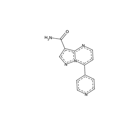 NC(=O)c1cnn2c(-c3ccncc3)ccnc12